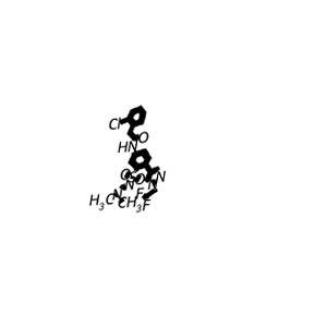 CN(C)/C=N/S(=O)(=O)c1cc(NC(=O)Cc2ccccc2Cl)ccc1-c1cnn(CC(F)F)c1